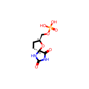 O=C1NC(=O)[C@@]2(CC[C@@H](COP(=O)(O)O)O2)N1